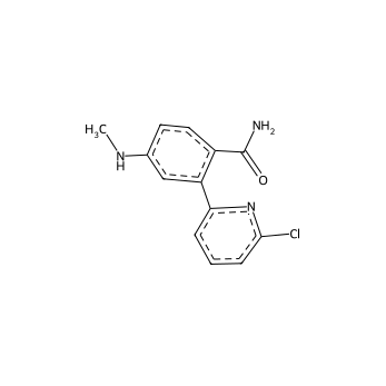 CNc1ccc(C(N)=O)c(-c2cccc(Cl)n2)c1